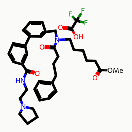 COC(=O)CCCCCN(Cc1cccc(-c2cccc(C(=O)NCCN3CCCC3)c2)c1)C(=O)CCCc1ccccc1.O=C(O)C(F)(F)F